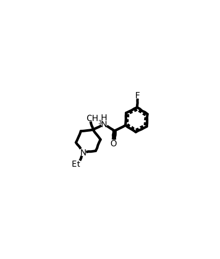 CCN1CCC(C)(NC(=O)c2cccc(F)c2)CC1